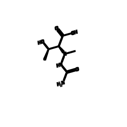 C[C@@H](O)[C@@H](C(=O)O)N(C)NC(N)=O